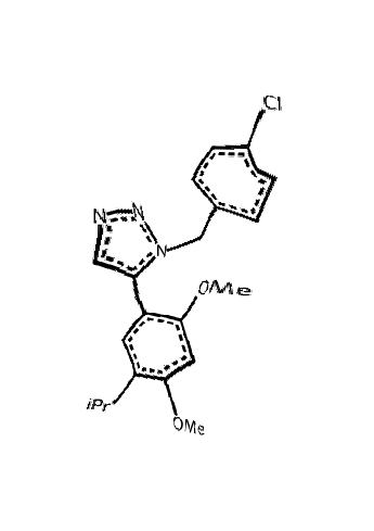 COc1cc(OC)c(C(C)C)cc1-c1cnnn1Cc1ccc(Cl)cc1